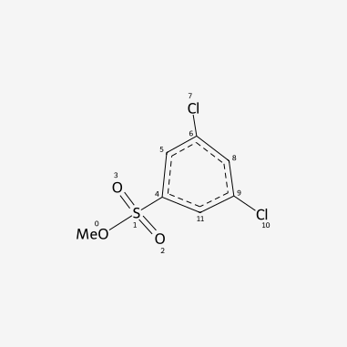 COS(=O)(=O)c1cc(Cl)cc(Cl)c1